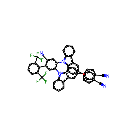 N#Cc1ccc(-c2ccc3c(c2)c2ccccc2n3-c2cc(C#N)c(-c3c(C(F)(F)F)cccc3C(F)(F)F)cc2-n2c3ccccc3c3cc(-c4ccc(C#N)cc4)ccc32)cc1